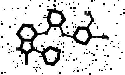 Cc1ccc(Oc2ccccc2Oc2nccc3[nH]c(=O)n(-c4cccnc4)c23)cc1OC(F)(F)F